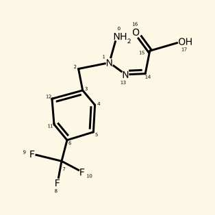 NN(Cc1ccc(C(F)(F)F)cc1)/N=C\C(=O)O